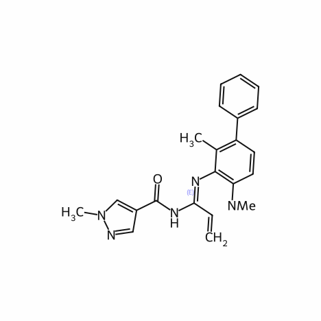 C=C/C(=N\c1c(NC)ccc(-c2ccccc2)c1C)NC(=O)c1cnn(C)c1